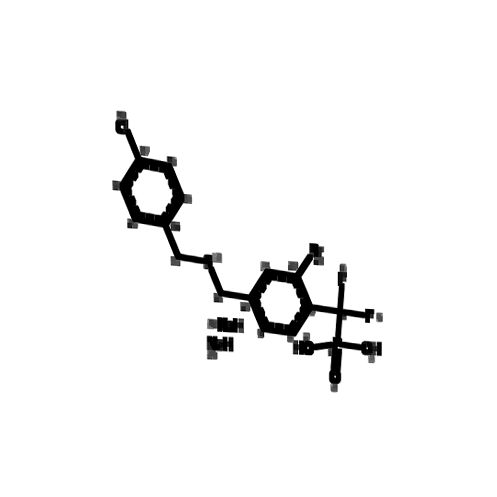 O=P(O)(O)C(F)(F)c1ccc(CSCc2ccc(Cl)cc2)cc1Br.[NaH].[NaH]